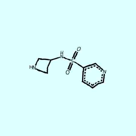 O=S(=O)(NC1CNC1)c1cccnc1